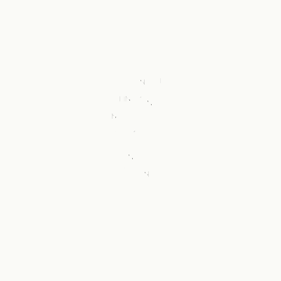 CCN1CCN(Cc2ccc(NC(=N)NC)nc2)CC1